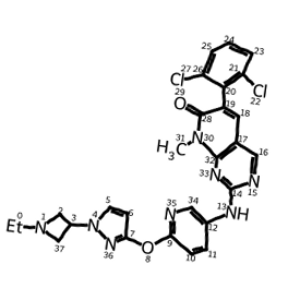 CCN1CC(n2ccc(Oc3ccc(Nc4ncc5cc(-c6c(Cl)cccc6Cl)c(=O)n(C)c5n4)cn3)n2)C1